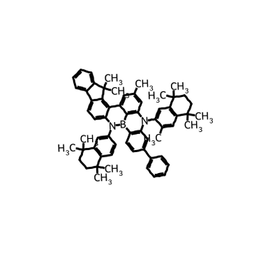 Cc1cc2c3c(c1)N(c1cc4c(cc1C)C(C)(C)CCC4(C)C)c1cc(-c4ccccc4)ccc1B3N(c1ccc3c(c1)C(C)(C)CCC3(C)C)c1ccc3c(c1-2)C(C)(C)c1ccccc1-3